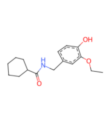 CCOc1cc(CNC(=O)C2CCCCC2)ccc1O